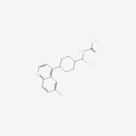 CC(=O)NC(C)C1CCC(c2ccnc3ccc(F)cc23)CC1